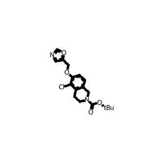 CC(C)(C)OC(=O)N1CCc2c(ccc(OCc3cnco3)c2Cl)C1